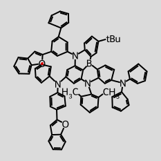 Cc1cccc(C)c1N1c2cc(N(c3ccccc3)c3ccccc3)ccc2B2c3cc(C(C)(C)C)ccc3N(c3cc(-c4ccccc4)cc(-c4cc5ccccc5o4)c3)c3cc(N(c4ccccc4)c4ccc(-c5cc6ccccc6o5)cc4)cc1c32